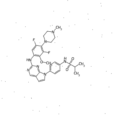 COc1c(Nc2ncc3ccn(-c4ccc(NS(=O)(=O)C(C)C)cc4)c3n2)cc(F)c(N2CCN(C)CC2)c1F